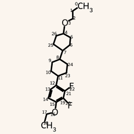 CCCOC1CCC(C2CCC(c3ccc(OCC)c(F)c3F)CC2)CC1